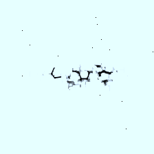 C[C@@H](CCO[PH]1(O)OC[C@H]2O[C@@H](n3cnc4c(N)nc(Cl)nc43)[C@@H](F)[C@@H]2O1)C(=O)O